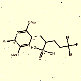 CCC(F)(CC)CCC(C[C@@H]1N=C(OC)[C@@H](C(C)C)N=C1OC)P(=O)(O)O